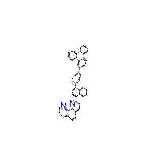 c1cnc2c(c1)ccc1ccc(-c3ccc(-c4ccc(-c5ccc6c7ccccc7c7ccccc7c6c5)cc4)c4ccccc34)nc12